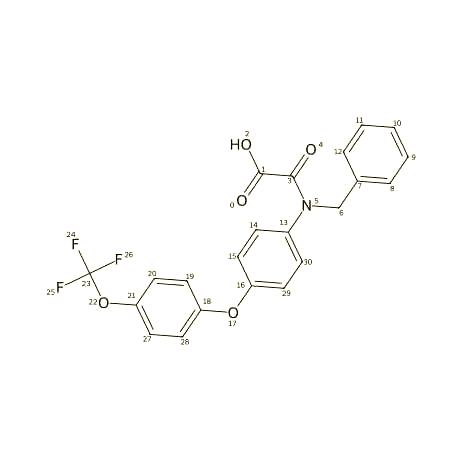 O=C(O)C(=O)N(Cc1ccccc1)c1ccc(Oc2ccc(OC(F)(F)F)cc2)cc1